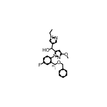 CCn1cc(C(O)c2cc(OC)nn2-c2ccc(F)cc2[C@@H](C)OCc2ccccc2)cn1